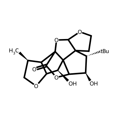 C[C@@H]1COC2C1C13OC4OCCC45[C@H](C(C)(C)C)[C@@H](O)C(OC1=O)C35[C@H]2O